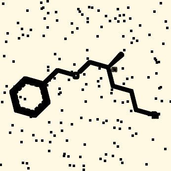 C[C@@H](CCCBr)COCc1ccccc1